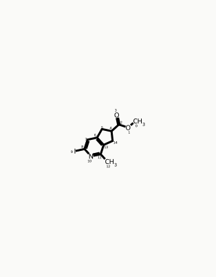 COC(=O)C1Cc2cc(I)nc(C)c2C1